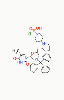 Cc1cn(C2CN(C(c3ccccc3)(c3ccccc3)c3ccccc3)CC(CC3CCCCN3C3CCN(P(=O)(O)Cl)CC3)O2)c(=O)[nH]c1=O